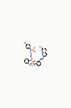 O=C(O)c1ccccc1N(CCCCN(c1ccc(Cl)cc1)[SH](=O)=O)S(=O)(=O)Cc1cccc(C=Cc2ccc3ccc(Cl)cc3n2)c1